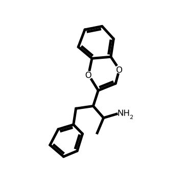 CC(N)C(Cc1ccccc1)C1=COc2ccccc2O1